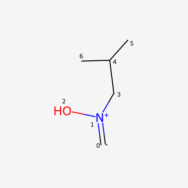 [CH]=[N+](O)CC(C)C